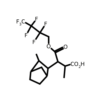 CC(C(=O)O)C(C(=O)OCC(F)(F)C(F)(F)C(F)(F)F)C1C2CCC(C2)C1C